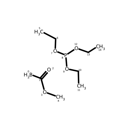 BC(=O)OC.CCOP(OCC)OCC